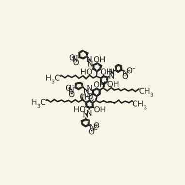 CCCCCCCCCCCC(C)c1cc(C(CCCCCCCCCCC)c2cc(C(CCCCCCCCCCC)c3cc(C(CCCCCCCCCCC)c4ccc(O)c(N=Nc5cccc([N+](=O)[O-])c5)c4O)c(O)c(N=Nc4cccc([N+](=O)[O-])c4)c3O)c(O)c(N=Nc3cccc([N+](=O)[O-])c3)c2O)c(O)c(N=Nc2cccc([N+](=O)[O-])c2)c1O